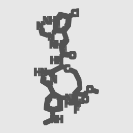 CNc1ccc2c(c1)NC(C(=O)OC)(C(F)(F)F)CCCC[C@H](NC(=O)/C=C/c1cc(Cl)ccc1N(N)/C=N\N)c1nc-2c[nH]1